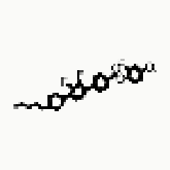 CCCCCC1CCC(c2ccc(-c3ccc(C(=O)Oc4ccc(OC)cc4F)cc3)c(F)c2F)CC1